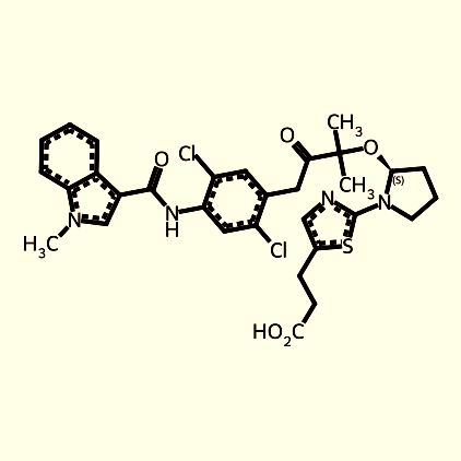 Cn1cc(C(=O)Nc2cc(Cl)c(CC(=O)C(C)(C)O[C@H]3CCCN3c3ncc(CCC(=O)O)s3)cc2Cl)c2ccccc21